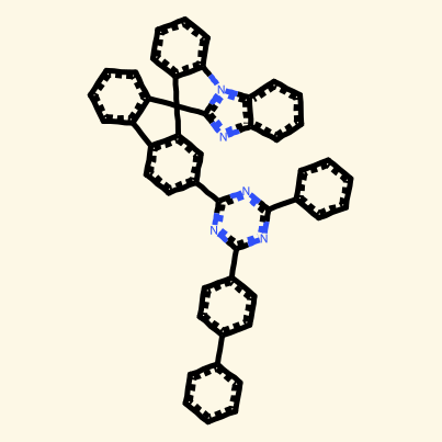 c1ccc(-c2ccc(-c3nc(-c4ccccc4)nc(-c4ccc5c(c4)C4(c6ccccc6-5)c5ccccc5-n5c4nc4ccccc45)n3)cc2)cc1